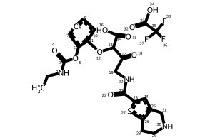 CCNC(=O)Oc1ccccc1OC(C(=O)O)C(=O)CNC(=O)c1cc2c(s1)CCNC2.O=C(O)C(F)(F)F